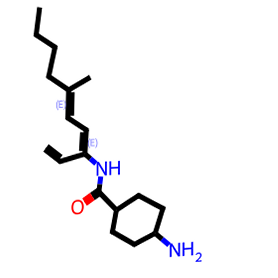 C=C/C(=C\C=C(/C)CCCC)NC(=O)C1CCC(N)CC1